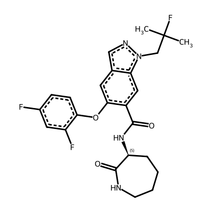 CC(C)(F)Cn1ncc2cc(Oc3ccc(F)cc3F)c(C(=O)N[C@H]3CCCCNC3=O)cc21